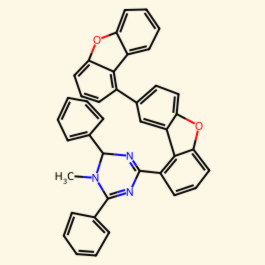 CN1C(c2ccccc2)=NC(c2cccc3oc4ccc(-c5cccc6oc7ccccc7c56)cc4c23)=NC1c1ccccc1